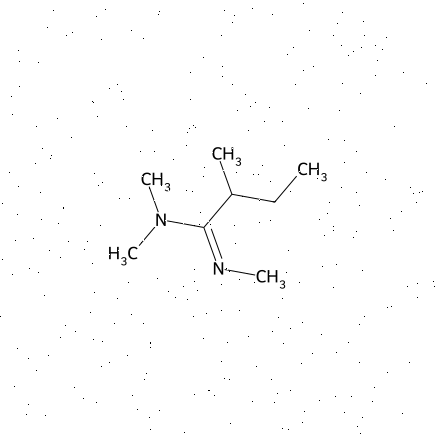 CCC(C)/C(=N\C)N(C)C